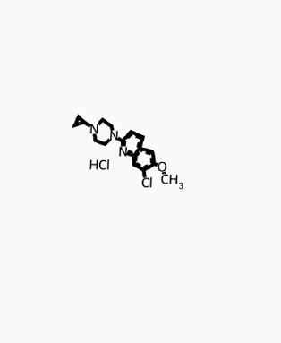 COc1cc2ccc(N3CCN(C4CC4)CC3)nc2cc1Cl.Cl